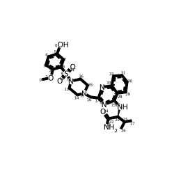 COc1ccc(O)cc1S(=O)(=O)N1CCN(Cc2nc(N[C@H](C(N)=O)C(C)C)c3ccccc3n2)CC1